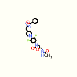 CC(=O)NC[C@H]1CN(c2cc(F)c(N3CCC(Cc4noc(C5C=CC=CC5)n4)CC3)c(F)c2)C(=O)O1